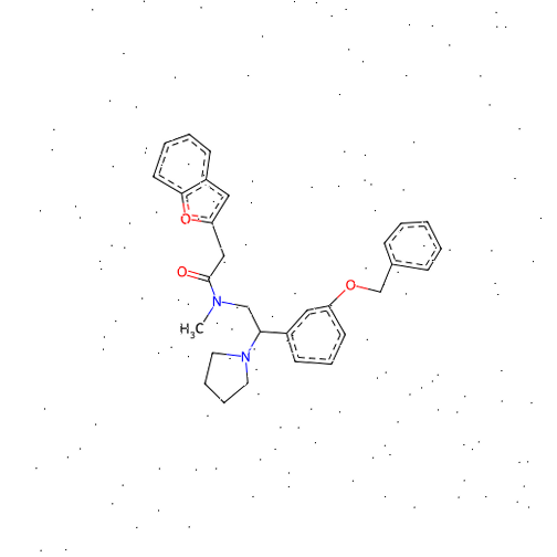 CN(CC(c1cccc(OCc2ccccc2)c1)N1CCCC1)C(=O)Cc1cc2ccccc2o1